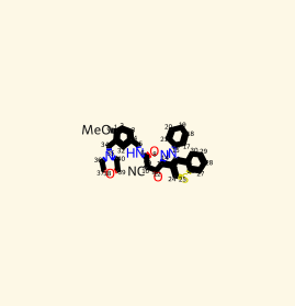 COc1ccc(CNC(=O)C(C#N)C(=O)c2nn(C3C=CCC=C3)c3c2=CSC2=CC=CCC=32)cc1CN1CCOCC1